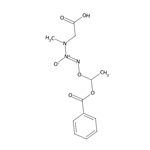 CC(O/N=[N+](\[O-])N(C)CC(=O)O)OC(=O)c1ccccc1